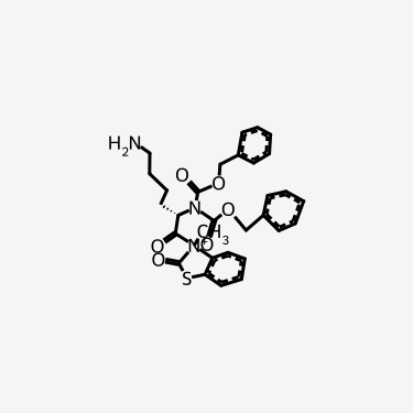 C[N+]1(C(=O)[C@H](CCCCN)N(C(=O)OCc2ccccc2)C(=O)OCc2ccccc2)C(=O)Sc2ccccc21